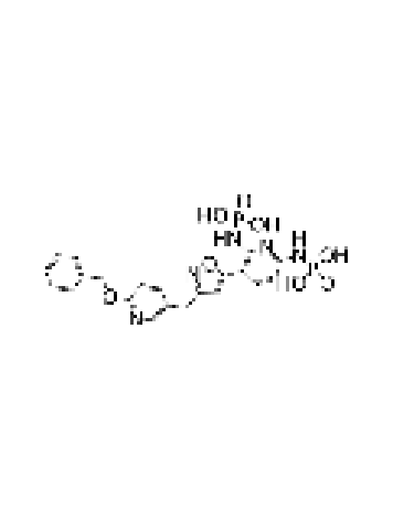 O=P(O)(O)Nc1ccc(-c2cc(Cc3ccc(OCc4ccccc4)nc3)no2)c(NP(=O)(O)O)n1